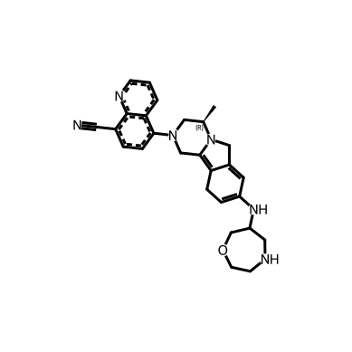 C[C@@H]1CN(c2ccc(C#N)c3ncccc23)CC2=C3CC=C(NC4CNCCOC4)C=C3CN21